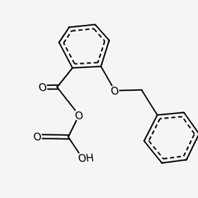 O=C(O)OC(=O)c1ccccc1OCc1ccccc1